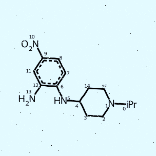 CC(C)N1CCC(Nc2ccc([N+](=O)[O-])cc2N)CC1